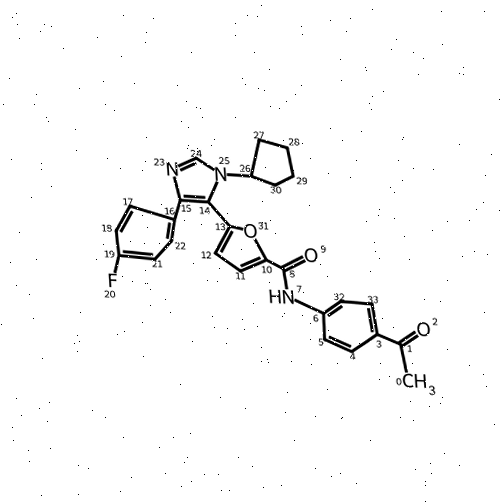 CC(=O)c1ccc(NC(=O)c2ccc(-c3c(-c4ccc(F)cc4)ncn3C3CCCC3)o2)cc1